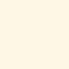 C#C[C@@H]1CC[N+]1(C)CCO.[I-]